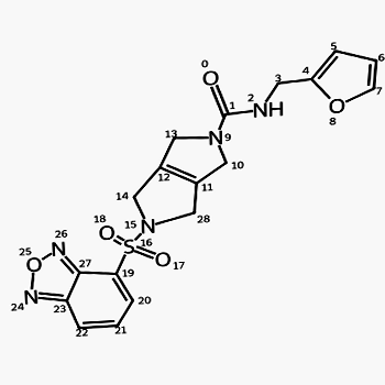 O=C(NCc1ccco1)N1CC2=C(C1)CN(S(=O)(=O)c1cccc3nonc13)C2